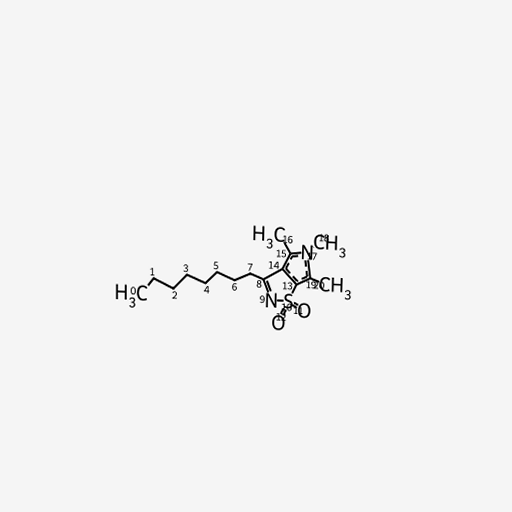 CCCCCCCCC1=NS(=O)(=O)c2c1c(C)n(C)c2C